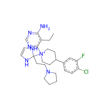 CCc1c(N)ncnc1[N+]1(C2(CCN3CCCC3)NC=CN2)CCC(c2ccc(Cl)c(F)c2)CC1